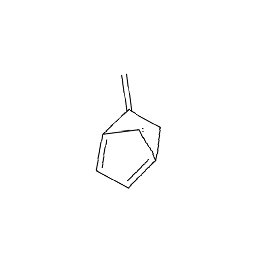 C=C1CC2=CC=C1[C]2